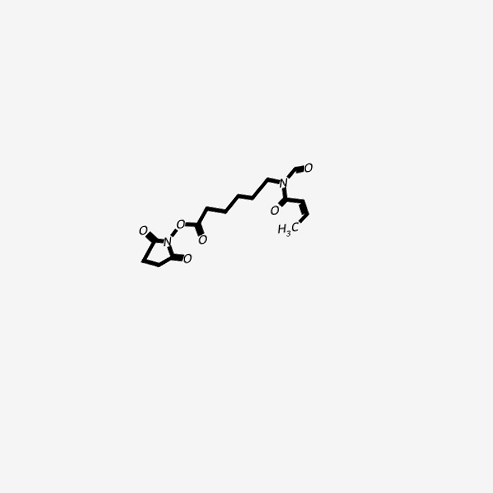 C/C=C\C(=O)N(C=O)CCCCCC(=O)ON1C(=O)CCC1=O